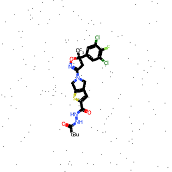 CC(C)(C)C(=O)NNC(=O)c1cc2c(s1)CN(C1=NOC(c3cc(Cl)c(F)c(Cl)c3)(C(F)(F)F)C1)C2